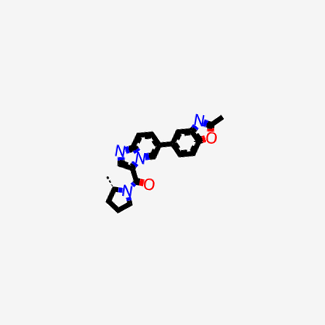 Cc1nc2cc(-c3ccc4ncc(C(=O)N5CCC[C@@H]5C)n4c3)ccc2o1